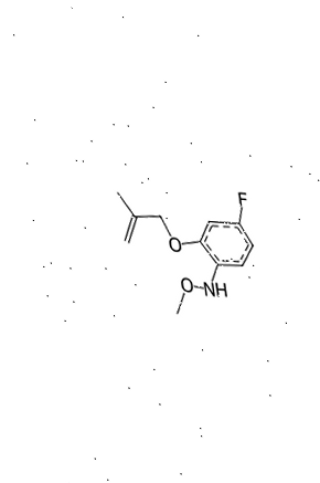 C=C(C)COc1cc(F)ccc1NOC